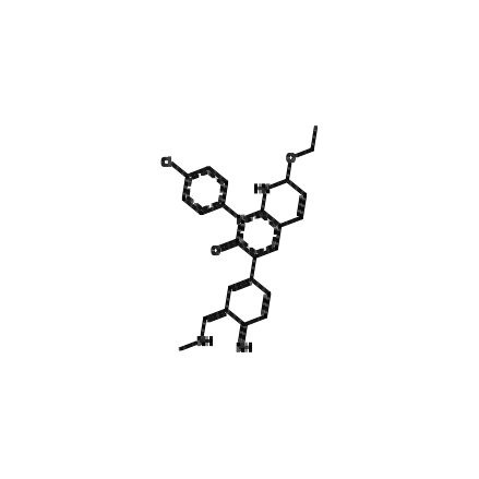 CCOC1C=Cc2cc(C3=C/C(=C/NC)C(=N)C=C3)c(=O)n(-c3ccc(Cl)cc3)c2N1